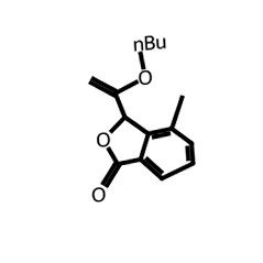 C=C(OCCCC)C1OC(=O)c2cccc(C)c21